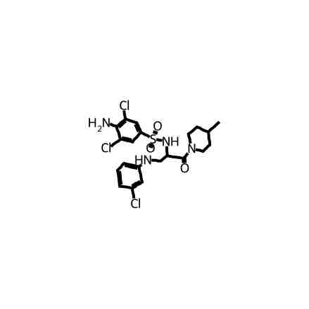 CC1CCN(C(=O)C(CNc2cccc(Cl)c2)NS(=O)(=O)c2cc(Cl)c(N)c(Cl)c2)CC1